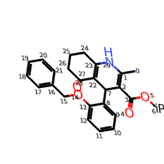 CC1=C(C(=O)OC(C)C)C(c2ccccc2OCc2ccccc2)C2=C(CCCC2=O)N1